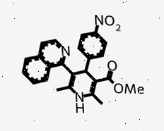 COC(=O)C1=C(C)NC(C)=C(c2nccc3ccccc23)C1c1ccc([N+](=O)[O-])cc1